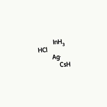 Cl.[Ag].[CsH].[InH3]